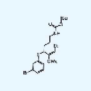 CC/C=C(/OC)C(CCCNC(=O)OC(C)(C)C)Sc1cccc(Br)c1